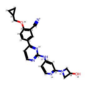 N#Cc1cc(-c2ccnc(Nc3ccnc(N4CC(O)C4)c3)n2)ccc1OCC1CC1